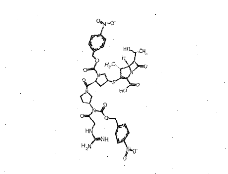 C[C@@H](O)[C@H]1C(=O)N2C(C(=O)O)=C(S[C@H]3C[C@@H](C(=O)N4CC[C@H](N(C(=O)CNC(=N)N)C(=O)OCc5ccc([N+](=O)[O-])cc5)C4)N(C(=O)OCc4ccc([N+](=O)[O-])cc4)C3)[C@H](C)[C@H]12